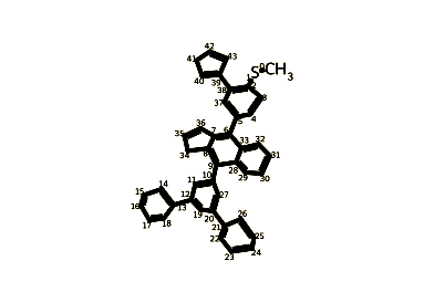 CSc1ccc(-c2c3c(c(-c4cc(-c5ccccc5)cc(-c5ccccc5)c4)c4ccccc24)CC=C3)cc1C1=CCC=C1